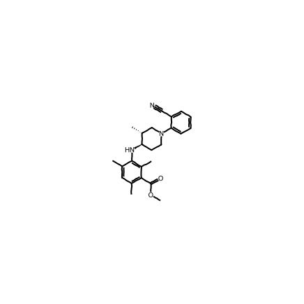 COC(=O)c1c(C)cc(C)c(N[C@@H]2CCN(c3ccccc3C#N)C[C@H]2C)c1C